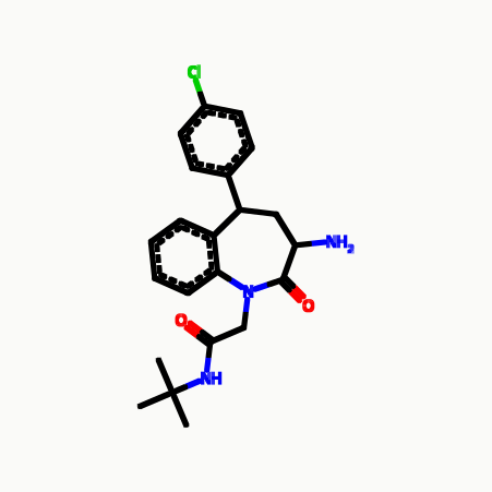 CC(C)(C)NC(=O)CN1C(=O)C(N)CC(c2ccc(Cl)cc2)c2ccccc21